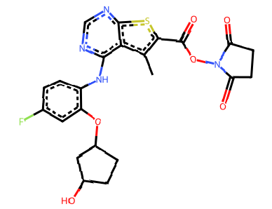 Cc1c(C(=O)ON2C(=O)CCC2=O)sc2ncnc(Nc3ccc(F)cc3OC3CCC(O)C3)c12